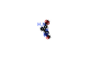 NC1(c2ccc(-c3nc4ccn5c(-c6ccco6)nnc5c4cc3-c3ccccc3)cc2)CC2(C1)OCCO2